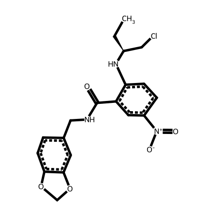 CC[C@@H](CCl)Nc1ccc([N+](=O)[O-])cc1C(=O)NCc1ccc2c(c1)OCO2